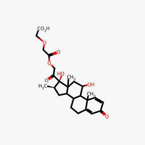 C[C@@H]1CC2C3CCC4=CC(=O)C=CC4(C)C3C(O)CC2(C)[C@@]1(O)C(=O)COC(=O)COCC(=O)O